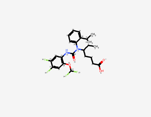 CCC(CCCC(=O)O)N(C(=O)Nc1cc(F)c(F)cc1OC(F)F)c1ccccc1C(C)C